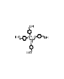 OCc1ccc(OCC(COc2ccc(CO)cc2)(COc2ccc(CO)cc2)COc2ccc(CO)cc2)cc1